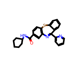 O=C(NC1CCCCC1)c1ccc2c(c1)N=C(c1ccccn1)c1ccccc1S2